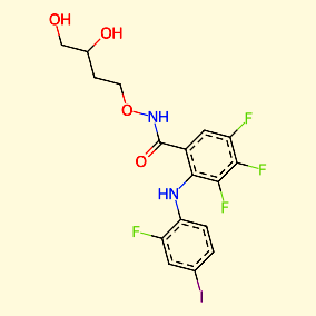 O=C(NOCCC(O)CO)c1cc(F)c(F)c(F)c1Nc1ccc(I)cc1F